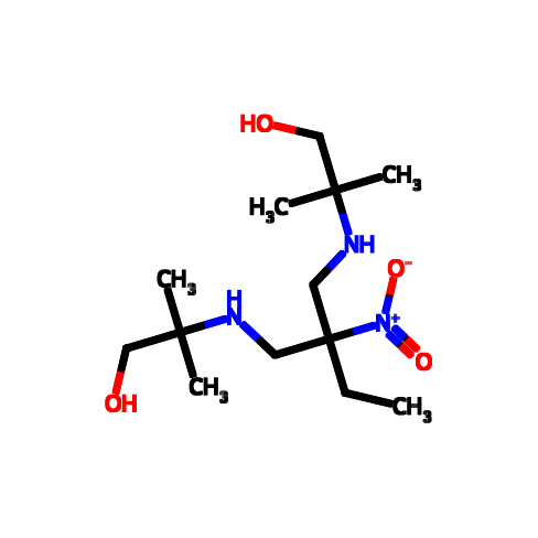 CCC(CNC(C)(C)CO)(CNC(C)(C)CO)[N+](=O)[O-]